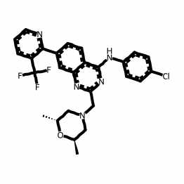 C[C@@H]1CN(Cc2nc(Nc3ccc(Cl)cc3)c3ccc(-c4ncccc4C(F)(F)F)cc3n2)C[C@@H](C)O1